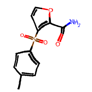 Cc1ccc(S(=O)(=O)c2ccoc2C(N)=O)cc1